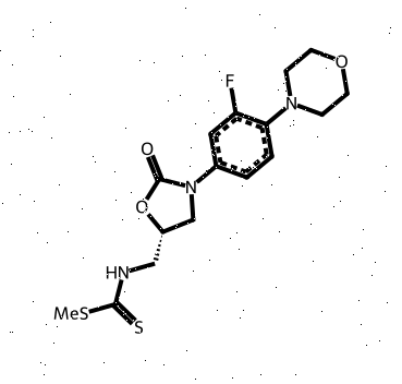 CSC(=S)NC[C@H]1CN(c2ccc(N3CCOCC3)c(F)c2)C(=O)O1